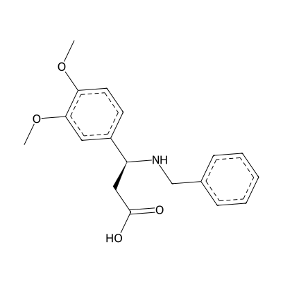 COc1ccc([C@H](CC(=O)O)NCc2ccccc2)cc1OC